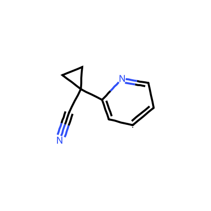 N#CC1(c2c[c]ccn2)CC1